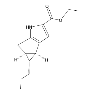 CCC[C@@H]1[C@H]2Cc3[nH]c(C(=O)OCC)cc3[C@@H]12